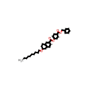 CCCCCCCCCCOC1CCc2cc(C(=O)Oc3ccc(C(=O)OCc4ccccc4)cc3)ccc2C1